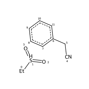 CC[SH](=O)=O.N#CCc1ccccc1